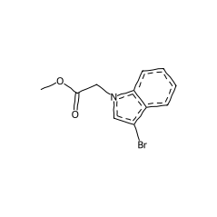 COC(=O)Cn1cc(Br)c2ccccc21